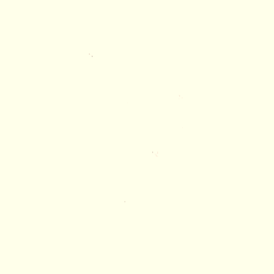 CN(C)CCNC=C1C(=O)ON=C1c1ccc([N+](=O)[O-])cc1